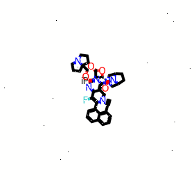 C#Cc1cccc2cccc(-c3ncc4c(N5CC6CCC(C5)N6C(=O)[C@H]5OC(=O)[C@@H]5C(C)C)nc(OCC56CCCN5CCC6)nc4c3F)c12